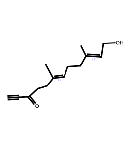 C#CC(=O)CC/C(C)=C/CC/C(C)=C/CO